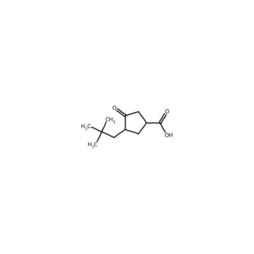 CC(C)(C)CC1CC(C(=O)O)CC1=O